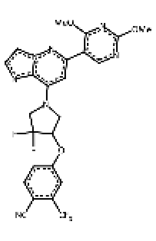 COc1ncc(-c2cc(N3CC(Oc4ccc(C#N)c(C(F)(F)F)c4)C(F)(F)C3)c3nccn3n2)c(OC)n1